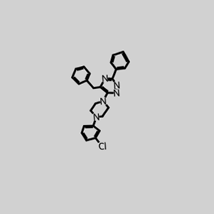 Clc1cccc(N2CCN(c3nnc(-c4ccccc4)nc3Cc3ccccc3)CC2)c1